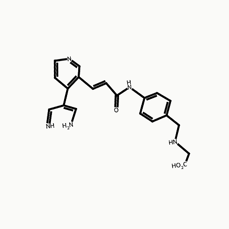 N=C/C(=C\N)c1ccncc1/C=C/C(=O)Nc1ccc(CNCC(=O)O)cc1